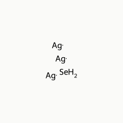 [Ag].[Ag].[Ag].[SeH2]